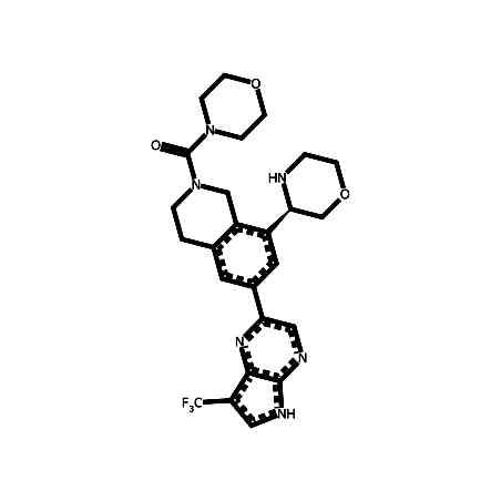 O=C(N1CCOCC1)N1CCc2cc(-c3cnc4[nH]cc(C(F)(F)F)c4n3)cc([C@@H]3COCCN3)c2C1